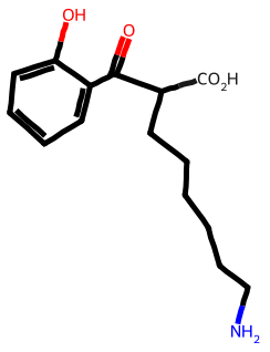 NCCCCCCC(C(=O)O)C(=O)c1ccccc1O